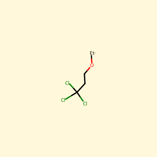 C[CH]OCCC(Cl)(Cl)Cl